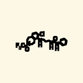 O=C(NCCCNc1c(Cl)ccc2c1CCN(C(=O)C(F)(F)F)CC2)Nc1ccccc1